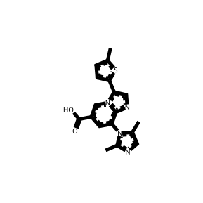 Cc1ccc(-c2cnc3c(-n4c(C)cnc4C)cc(C(=O)O)cn23)s1